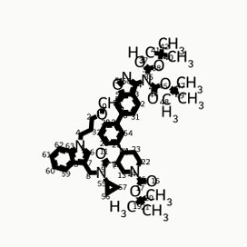 COCCCn1cc(CN(C(=O)[C@H]2CN(C(=O)OC(C)(C)C)CC[C@@H]2c2cccc(-c3ccc4c(N(C(=O)OC(C)(C)C)C(=O)OC(C)(C)C)noc4c3)c2)C2CC2)c2ccccc21